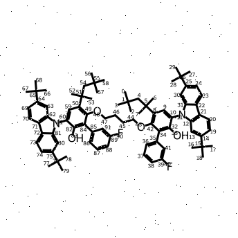 CC(C)(C)CC(C)(C)c1cc(-n2c3cc(C(C)(C)C)ccc3c3ccc(C(C)(C)C)cc32)c(O)c(-c2cccc(F)c2)c1OCCCCOc1c(C(C)(C)CC(C)(C)C)cc(-n2c3cc(C(C)(C)C)ccc3c3ccc(C(C)(C)C)cc32)c(O)c1-c1cccc(F)c1